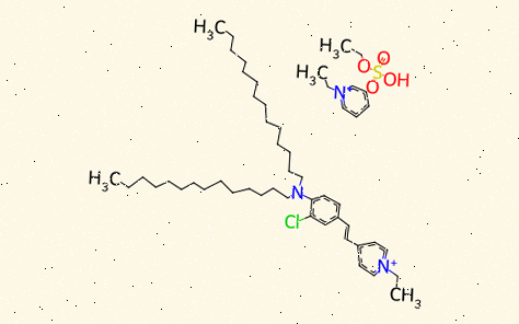 CCCCCCCCCCCCCCN(CCCCCCCCCCCCCC)c1ccc(/C=C/c2cc[n+](CC)cc2)cc1Cl.CCOS(=O)(=O)O.CC[n+]1ccccc1